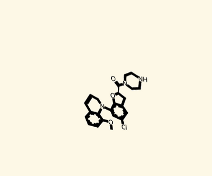 COc1cccc2c1N(c1cc(Cl)cc3c1O[C@@H](C(=O)N1CCNCC1)C3)CC=C2